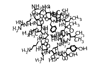 CC[C@H](C)[C@H](NC(=O)[C@@H]1C[C@@H](O)CN1C(=O)[C@@H](N)C(C)C)C(=O)N[C@H](C(=O)N[C@@H](Cc1ccc(O)cc1)C(=O)N[C@@H](CO)C(=O)N[C@@H](CC(N)=O)C(=O)N[C@@H](CCCNC(=N)N)C(=O)N[C@@H](CCN)C(=O)N[C@H](C(=O)N[C@H](CCCNC(N)=O)C(=O)N[C@@H](CCCCN)C(=O)N[C@@H](CCN)C(=O)N[C@@H](CCN)C(=O)N[C@@H](CS)C(=O)N[C@@H](Cc1ccc(O)cc1)C(=O)O)[C@@H](C)O)C(C)(C)S